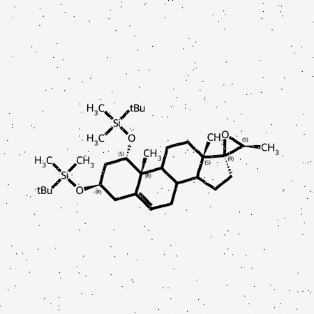 C[C@@H]1O[C@@]12CCC1C3CC=C4C[C@@H](O[Si](C)(C)C(C)(C)C)C[C@H](O[Si](C)(C)C(C)(C)C)[C@]4(C)C3CC[C@@]12C